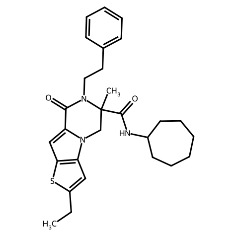 CCc1cc2c(cc3n2CC(C)(C(=O)NC2CCCCCC2)N(CCc2ccccc2)C3=O)s1